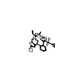 C=CC(=O)N1Cc2sc(Cl)cc2C(c2ccccc2-c2cn(C(C)C)nc2C(F)(F)C2CC2)C1